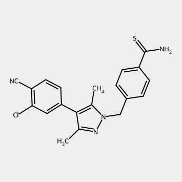 Cc1nn(Cc2ccc(C(N)=S)cc2)c(C)c1-c1ccc(C#N)c(Cl)c1